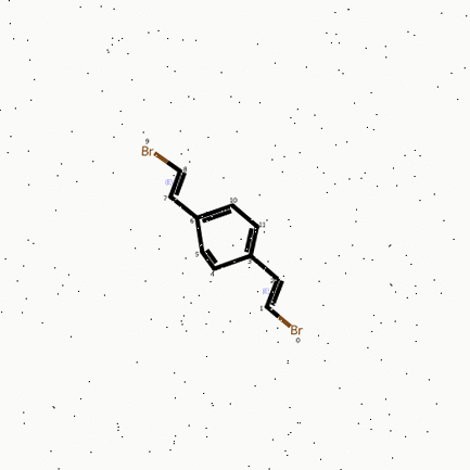 Br/C=C/c1ccc(/C=C/Br)cc1